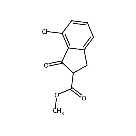 COC(=O)C1Cc2cccc(Cl)c2C1=O